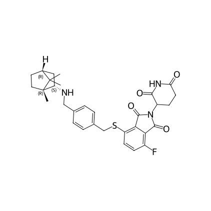 CC1(C)[C@@H]2CC[C@@]1(C)[C@@H](NCc1ccc(CSc3ccc(F)c4c3C(=O)N(C3CCC(=O)NC3=O)C4=O)cc1)C2